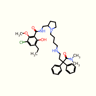 CCc1cc(Cl)c(OC)c(C(=O)NCC2CCCN2CCCCNCCC(C(=O)N(C)C)(c2ccccc2)c2ccccc2)c1O